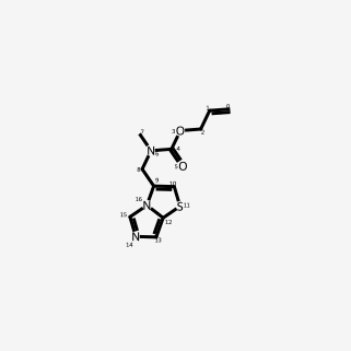 C=CCOC(=O)N(C)Cc1csc2cncn12